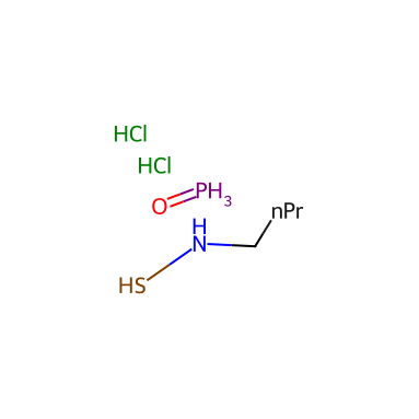 CCCCNS.Cl.Cl.O=[PH3]